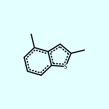 Cc1cc2c(C)cccc2s1